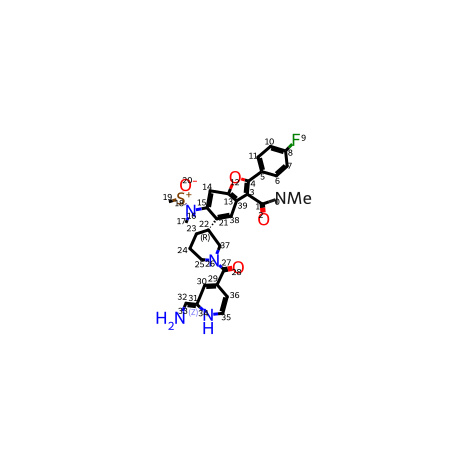 CNC(=O)c1c(-c2ccc(F)cc2)oc2cc(N(C)[S+](C)[O-])c([C@H]3CCCN(C(=O)C4=C/C(=C/N)NC=C4)C3)cc12